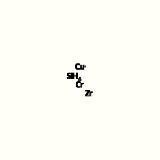 [Cr].[Cu].[SiH4].[Zr]